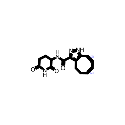 O=C1CCC(NC(=O)c2n[nH]c3c2CC/C=C\C=C/3)C(=O)N1